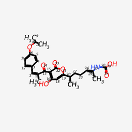 C/C(=C/c1ccc(OC(C)C)cc1)C(=O)c1c(O)cc(C(C)CC/C=C(\C)NC(=O)O)oc1=O